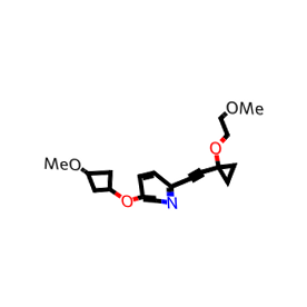 COCCOC1(C#Cc2ccc(OC3CC(OC)C3)cn2)CC1